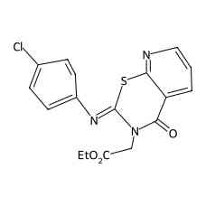 CCOC(=O)Cn1c(=O)c2cccnc2s/c1=N\c1ccc(Cl)cc1